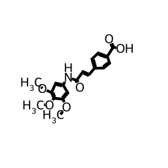 COc1cc(NC(=O)C=Cc2ccc(C(=O)O)cc2)cc(OC)c1OC